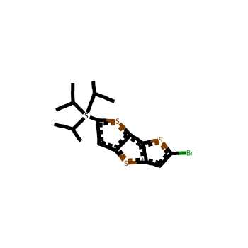 CC(C)[Si](c1cc2sc3cc(Br)sc3c2s1)(C(C)C)C(C)C